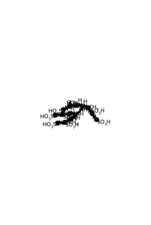 Cc1cc(Nc2nc(NCCCNc3nc(Nc4ccc(N=Nc5ccc(N=Nc6ccc(S(=O)(=O)O)cc6)cc5S(=O)(=O)O)c(C)c4)nc(Nc4ccc(N=Nc5ccc(N=Nc6ccc(S(=O)(=O)O)cc6)cc5S(=O)(=O)O)c(C)c4)n3)nc(Nc3ccc(N=Nc4ccc(N=Nc5ccc(S(=O)(=O)O)cc5)cc4S(=O)(=O)O)c(C)c3)n2)ccc1N=Nc1ccc(N=Nc2ccc(S(=O)(=O)O)cc2)cc1S(=O)O